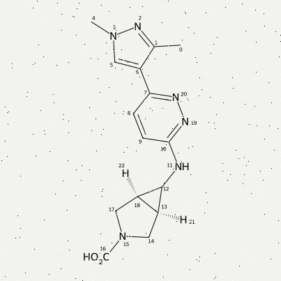 Cc1nn(C)cc1-c1ccc(NC2[C@H]3CN(C(=O)O)C[C@@H]23)nn1